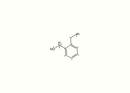 CC(C)Cc1ccccc1[SiH2]O